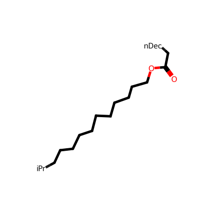 CCCCCCCCCCCC(=O)OCCCCCCCCCCCC(C)C